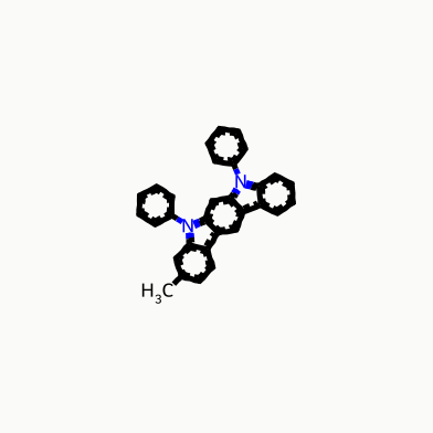 Cc1ccc2c3cc4c5ccccc5n(-c5ccccc5)c4cc3n(-c3ccccc3)c2c1